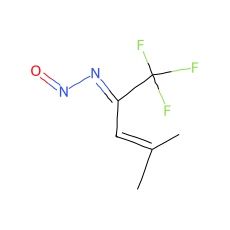 CC(C)=C/C(=N\N=O)C(F)(F)F